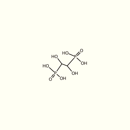 O=P(O)(O)C(O)C(O)P(=O)(O)O